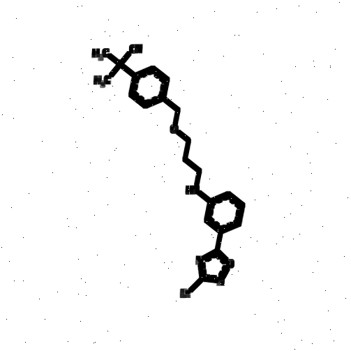 CCc1noc(-c2cccc(NCCCOCc3ccc(C(C)(C)C#N)cc3)c2)n1